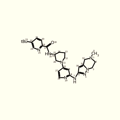 CN1CCn2nc(Nc3cc(N4CCC[C@H](NC(=O)c5ccc(C(C)(C)C)cn5)C4)ccn3)cc2C1